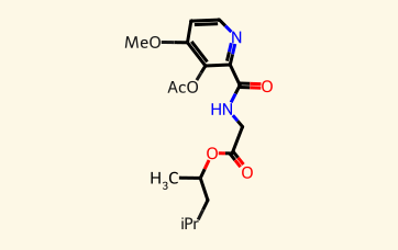 COc1ccnc(C(=O)NCC(=O)OC(C)CC(C)C)c1OC(C)=O